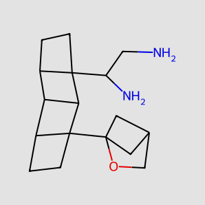 NCC(N)C12CCC1C1C3CCC3(C34CC(CO3)C4)C12